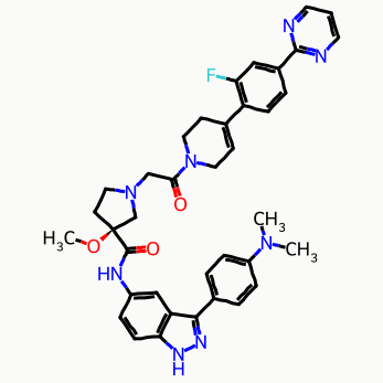 CO[C@@]1(C(=O)Nc2ccc3[nH]nc(-c4ccc(N(C)C)cc4)c3c2)CCN(CC(=O)N2CC=C(c3ccc(-c4ncccn4)cc3F)CC2)C1